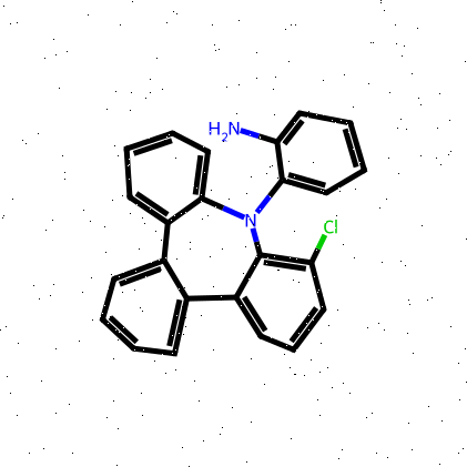 Nc1ccccc1N1c2ccccc2-c2ccccc2-c2cccc(Cl)c21